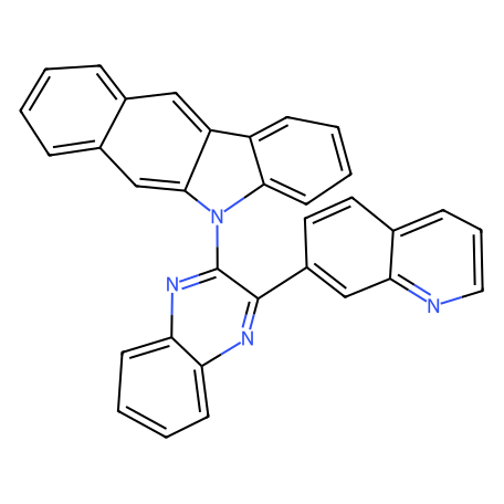 c1ccc2cc3c(cc2c1)c1ccccc1n3-c1nc2ccccc2nc1-c1ccc2cccnc2c1